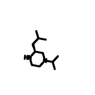 CC(C)C[C@H]1CN(C(C)C)CCN1